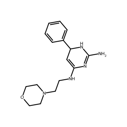 NC1=NC(NCCN2CCOCC2)=CC(c2ccccc2)N1